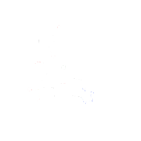 Cc1nnnn1C(C)COC1=C(Cl)C(C(=O)OC2=CC(=O)CCC2)=CC(=S(=O)=O)C1C